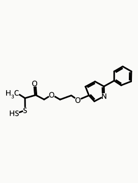 CC(SS)C(=O)COCCOc1ccc(-c2ccccc2)nc1